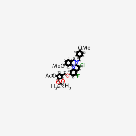 COc1ccc(CN(Cc2ccc(OC)cc2)c2nc3cc(OCC4=CC(OC(C)=O)C5OC(C)(C)OC45)cc(F)c3cc2Cl)cc1